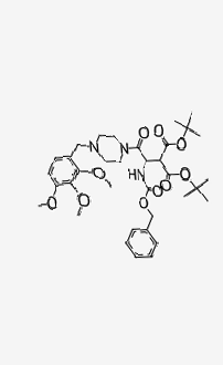 COc1ccc(CN2CCN(C(=O)C(NC(=O)OCc3ccccc3)C(C(=O)OC(C)(C)C)C(=O)OC(C)(C)C)CC2)c(OC)c1OC